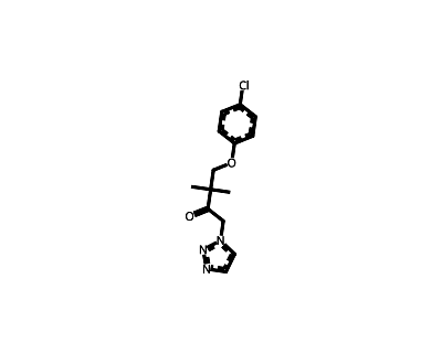 CC(C)(COc1ccc(Cl)cc1)C(=O)Cn1ccnn1